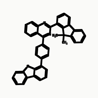 CC1(C)c2ccccc2-c2cccc(-c3nc(-c4ccc(-c5cccc6c5oc5ccccc56)cc4)c4ccccc4n3)c21